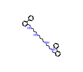 c1ccc(-c2ccccc2CNCCCNCCCCNCCCNCc2ccccc2-c2ccccc2)cc1